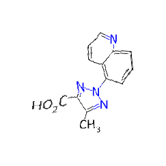 Cc1nn(-c2cccc3ncccc23)nc1C(=O)O